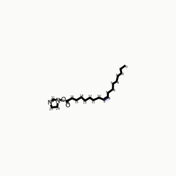 CCCCCCCC/C=C\CCCCCCCC(=O)ON1C=NCC1